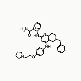 NC(=O)C1C2C=CC(C2)C1Nc1nc2c(c(Nc3ccc(OCCN4CCCC4)cc3)n1)CN(Cc1ccccc1)CC2